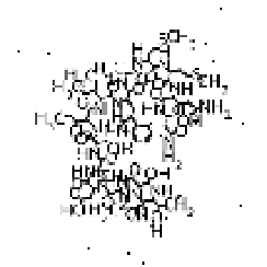 CCC(CC)C(NC(=O)C(NC(=O)C(CO)NC(=O)C(C)NC(=O)C(CC(=O)O)NC(=O)C(CC(C)C)NC(=O)C(CO)NC(=O)C(N)C(C)O)[C@@H](C)CC)C(=O)NC(Cc1c[nH]c2ccccc12)C(=O)NC(C)C(=O)NC(CCSC)C(=O)NC(CCSC)C(=O)NC(CCC(N)=O)C(=O)N[C@@H](CC(N)=O)C(=O)O